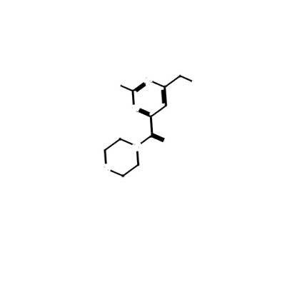 O=C(c1cc(CO)nc(C(F)(F)F)n1)N1CCNCC1